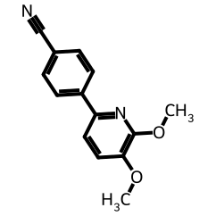 COc1ccc(-c2ccc(C#N)cc2)nc1OC